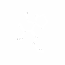 CON=C(C(=O)O)C1(CCl)OCCO1